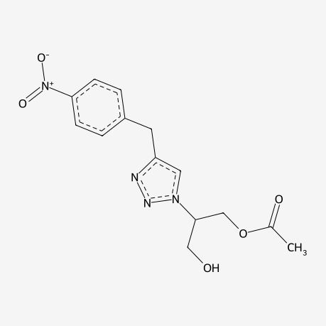 CC(=O)OCC(CO)n1cc(Cc2ccc([N+](=O)[O-])cc2)nn1